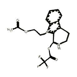 CC(=O)OCCn1c2c(c3ccccc31)CCNC2OC(=O)C(F)(F)F